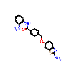 Nc1nc2ccc(OCc3ccc(C(=O)Nc4ccccc4N)cc3)cc2s1